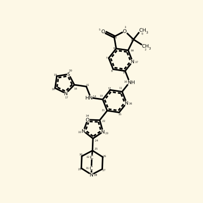 CC1(C)OC(=O)c2ccc(Nc3cc(NCc4nccs4)c(-c4nc(C56CCN(CC5)CC6)no4)cn3)nc21